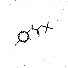 CC(C)(C)[CH]C(=O)Nc1ccc(I)cc1